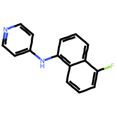 Fc1cccc2c(Nc3ccncc3)cccc12